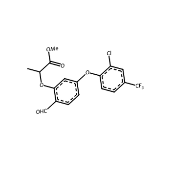 COC(=O)C(C)Oc1cc(Oc2ccc(C(F)(F)F)cc2Cl)ccc1C=O